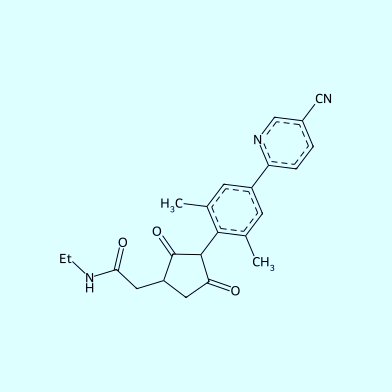 CCNC(=O)CC1CC(=O)C(c2c(C)cc(-c3ccc(C#N)cn3)cc2C)C1=O